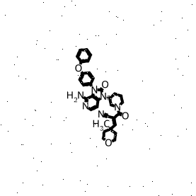 CC1(C=C(C#N)C(=O)N2CCC[C@@H](n3c(=O)n(-c4ccc(Oc5ccccc5)cc4)c4c(N)nccc43)C2)CCOCC1